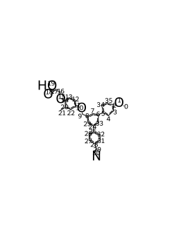 COc1ccc(-c2cc(COc3ccc(OCC(=O)O)c(C)c3)cc(-c3ccc(C#N)cc3)c2)cc1